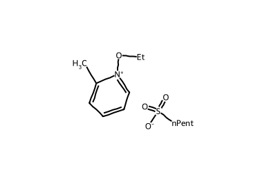 CCCCCS(=O)(=O)[O-].CCO[n+]1ccccc1C